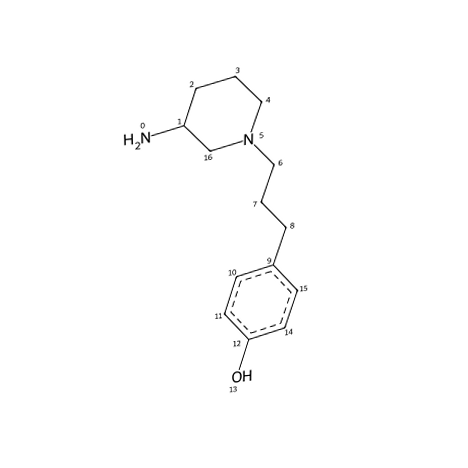 NC1CCCN(CCCc2ccc(O)cc2)C1